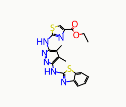 CCOC(=O)c1csc(Nc2nnc(Nc3nc4ccccc4s3)c(C)c2C)n1